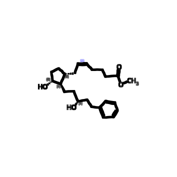 COC(=O)CCC/C=C\C[C@H]1CC[C@@H](O)[C@@H]1CC[C@@H](O)CCc1ccccc1